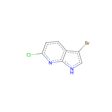 Clc1ccc2c(Br)c[nH]c2n1